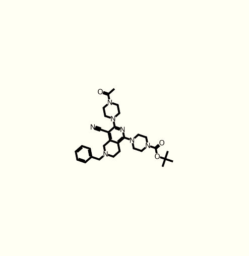 CC(=O)N1CCN(c2nc(N3CCN(C(=O)OC(C)(C)C)CC3)c3c(c2C#N)CN(Cc2ccccc2)CC3)CC1